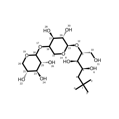 CC(C)(C)C[C@H](O)[C@@H](O)[C@@H](CO)O[C@H]1OCC(OC2OC[C@@H](O)[C@H](O)[C@H]2O)[C@@H](O)[C@@H]1O